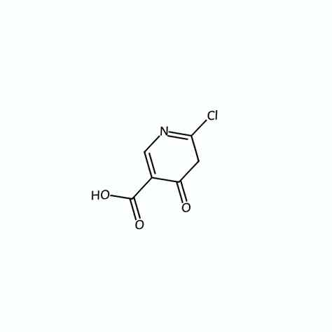 O=C(O)C1=CN=C(Cl)CC1=O